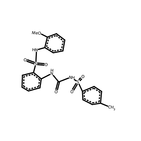 COc1ccccc1NS(=O)(=O)c1ccccc1NC(=O)NS(=O)(=O)c1ccc(C)cc1